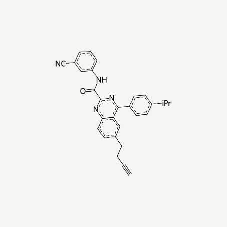 C#CCCc1ccc2nc(C(=O)Nc3cccc(C#N)c3)nc(-c3ccc(C(C)C)cc3)c2c1